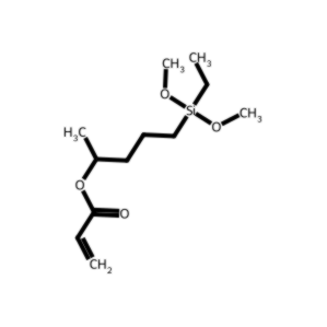 C=CC(=O)OC(C)CCC[Si](CC)(OC)OC